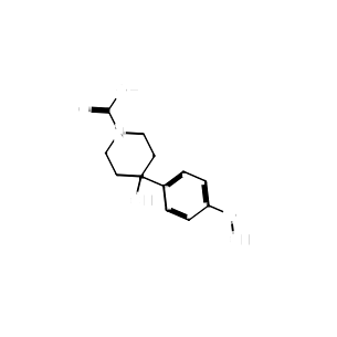 COc1ccc(C2(O)CCN(C(=O)O)CC2)cc1